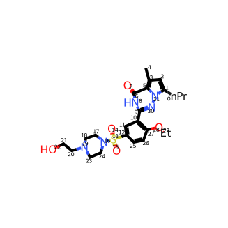 CCCc1cc(C)c2c(=O)[nH]c(-c3cc(S(=O)(=O)N4CCN(CCO)CC4)ccc3OCC)nn12